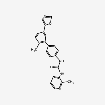 Cc1ccc(-c2cnco2)cc1-c1ccc(NC(=O)Nc2cccnc2C)cc1